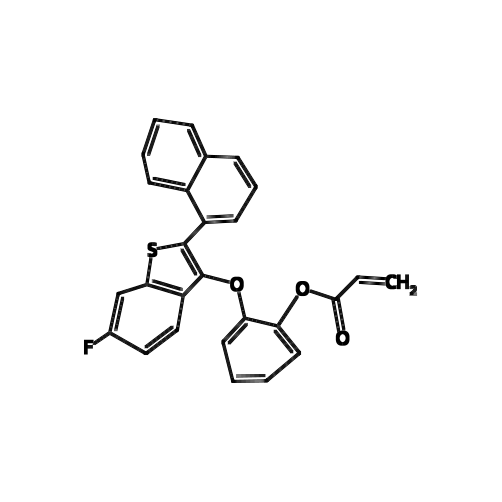 C=CC(=O)Oc1ccccc1Oc1c(-c2cccc3ccccc23)sc2cc(F)ccc12